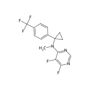 CN(c1ncnc(F)c1F)C1(c2ccc(C(F)(F)F)cc2)CC1